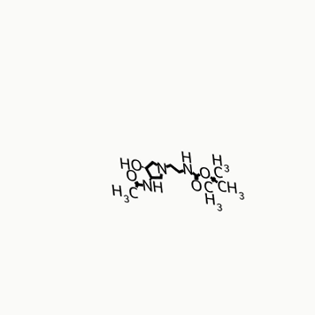 CC(=O)N[C@@H]1CN(CCNC(=O)OC(C)(C)C)C[C@H]1O